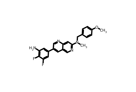 COc1ccc(CN(C)c2cc3ncc(-c4cc(N)c(F)c(F)c4)cc3cn2)cc1